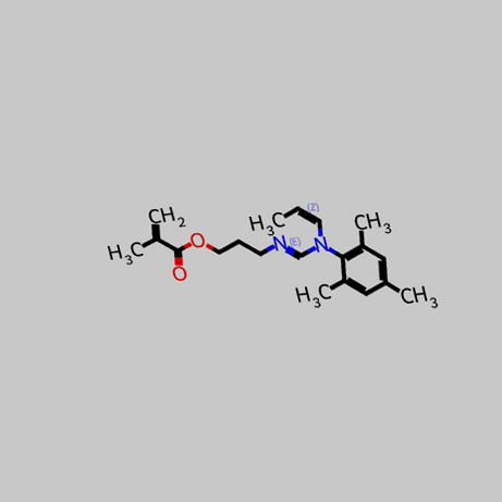 C=C(C)C(=O)OCCC/N=C/N(/C=C\C)c1c(C)cc(C)cc1C